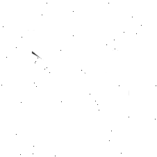 CO[C@H]1CN(C(=O)O)C[C@@H]1CO